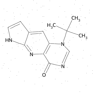 CC(C)(C)n1cnc(=O)c2nc3[nH]ccc3cc21